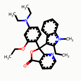 CCOc1cc(N(CC)CC)ccc1C1(c2c(CC)n(C)c3ccccc23)OC(=O)c2cccnc21